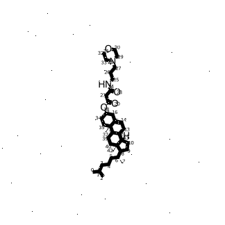 CC(C)CCC[C@@H](C)C1CC[C@H]2C3CC=C4C[C@@H](OC(=O)CC(=O)NCCCN5CCOCC5)CC[C@]4(C)C3CC[C@]12C